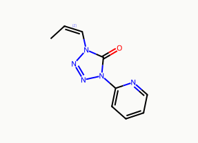 C/C=C\n1nnn(-c2ccccn2)c1=O